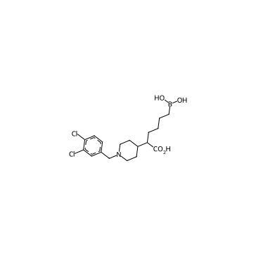 O=C(O)C(CCCCB(O)O)C1CCN(Cc2ccc(Cl)c(Cl)c2)CC1